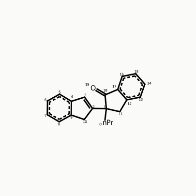 CCCC1(C2=Cc3ccccc3C2)Cc2ccccc2C1=O